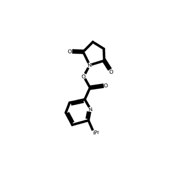 CC(C)c1cccc(C(=O)ON2C(=O)CCC2=O)n1